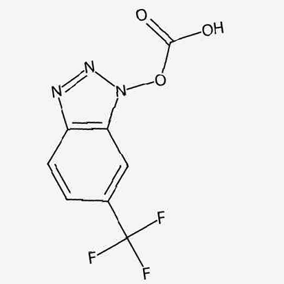 O=C(O)On1nnc2ccc(C(F)(F)F)cc21